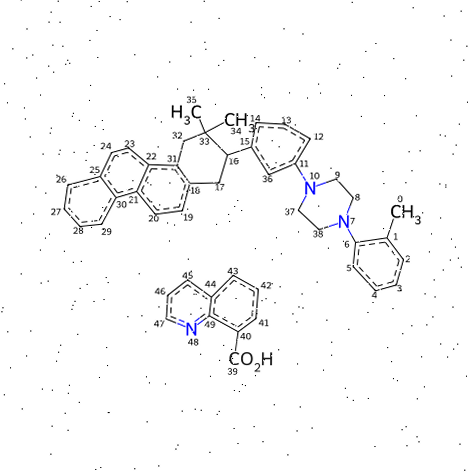 Cc1ccccc1N1CCN(c2cccc(C3Cc4ccc5c(ccc6ccccc65)c4CC3(C)C)c2)CC1.O=C(O)c1cccc2cccnc12